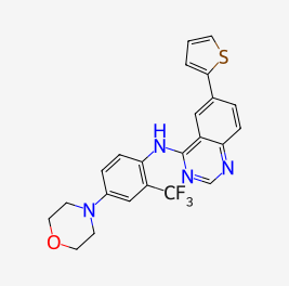 FC(F)(F)c1cc(N2CCOCC2)ccc1Nc1ncnc2ccc(-c3cccs3)cc12